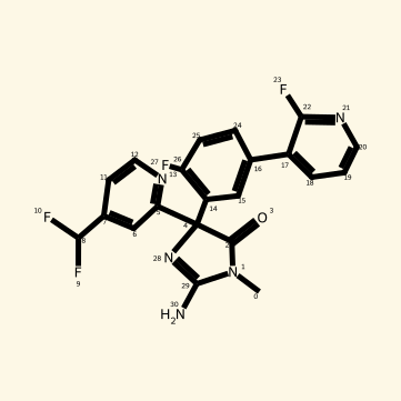 CN1C(=O)C(c2cc(C(F)F)ccn2)(c2cc(-c3cccnc3F)ccc2F)N=C1N